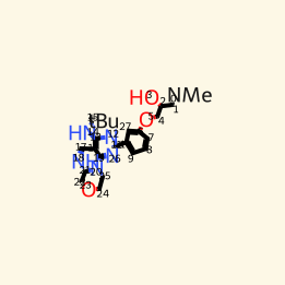 CNCC(O)COc1cccc(-c2nc(NC(C)(C)C)c(C=N)c(N3CCOCC3)n2)c1